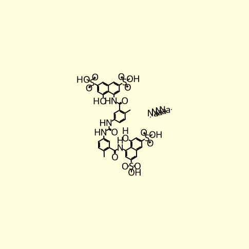 Cc1ccc(NC(=O)Nc2ccc(C)c(C(=O)Nc3cc(S(=O)(=O)O)cc4cc(S(=O)(=O)O)cc(O)c34)c2)cc1C(=O)Nc1cc(S(=O)(=O)O)cc2cc(S(=O)(=O)O)cc(O)c12.[Na].[Na].[Na].[Na]